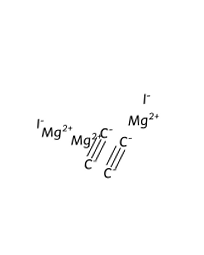 [C-]#[C-].[C-]#[C-].[I-].[I-].[Mg+2].[Mg+2].[Mg+2]